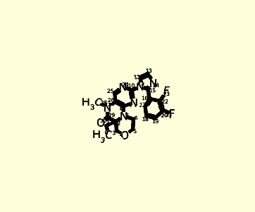 CCC12COCCN1c1nc(-n3ccnc3-c3cccc(F)c3F)ncc1N(C)C2=O